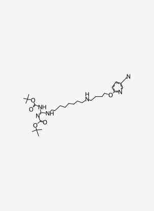 CC(C)(C)OC(=O)/N=C(\NCCCCCCCCNCCCCOc1ccc(C#N)cn1)NC(=O)OC(C)(C)C